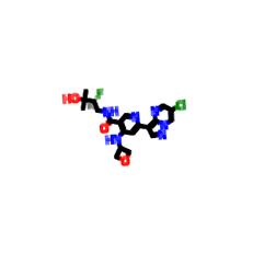 CC(C)(O)[C@H](F)CNC(=O)c1cnc(-c2cnn3cc(Cl)cnc23)cc1NC1COC1